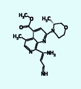 COC(=O)c1cc(N2CCOC[C@H]2C)nc2c(/C(N)=C/C=N)ncc(C)c12